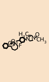 CC(=O)N1CCN(c2ccc(CN3CCCCC(c4ccccc4)S3(=O)=O)c(F)c2)[C@@H](C)C1